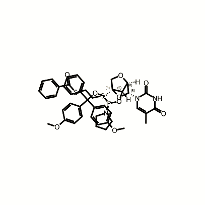 COc1ccc(C(OC[C@@]23CO[C@@H]([C@H](n4cc(C)c(=O)[nH]c4=O)O2)[C@@H]3OP(SCCSC(=O)c2ccccc2)N2CCCC2)(c2ccccc2)c2ccc(OC)cc2)cc1